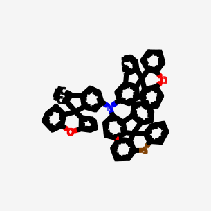 c1ccc2c(c1)Oc1ccccc1C21c2ccccc2-c2cc(N(c3ccc4c(c3)C3(c5ccccc5Oc5ccccc53)c3ccccc3-4)c3cccc4c3-c3ccccc3C43c4ccccc4Sc4ccccc43)ccc21